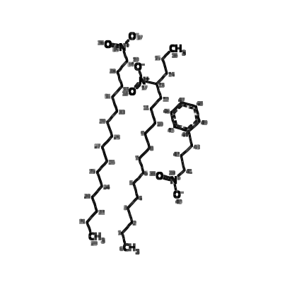 CCCCCCCCCCCCCC(CCC)[N+](=O)[O-].CCCCCCCCCCCCCCC[N+](=O)[O-].O=[N+]([O-])CCCc1ccccc1